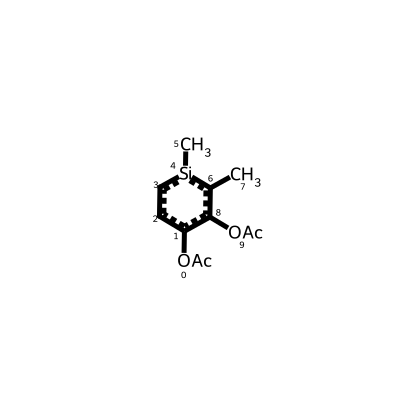 CC(=O)Oc1cc[si](C)c(C)c1OC(C)=O